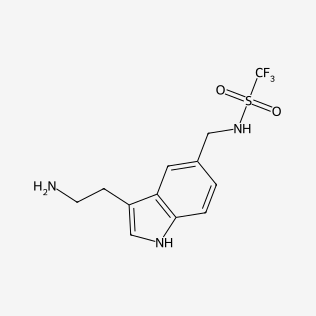 NCCc1c[nH]c2ccc(CNS(=O)(=O)C(F)(F)F)cc12